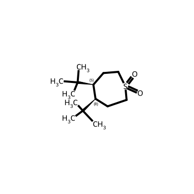 CC(C)(C)[C@@H]1CCS(=O)(=O)CC[C@@H]1C(C)(C)C